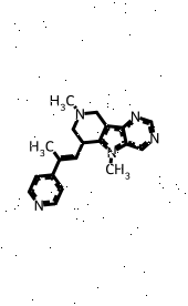 C/C(=C\C1CN(C)Cc2c1n(C)c1cncnc21)c1ccncc1